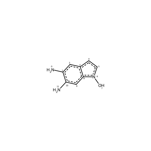 Nc1cc2ccn(O)c2cc1N